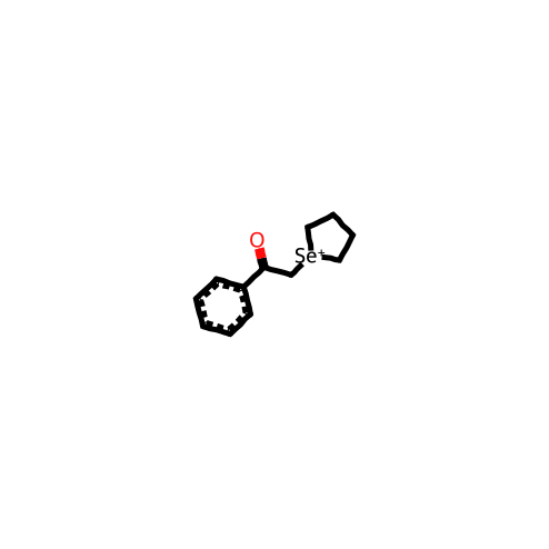 O=C(C[Se+]1CCCC1)c1ccccc1